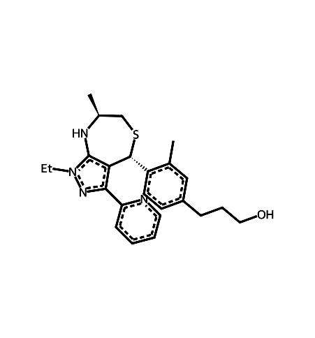 CCn1nc(-c2ccccn2)c2c1N[C@@H](C)CS[C@@H]2c1ccc(CCCO)cc1C